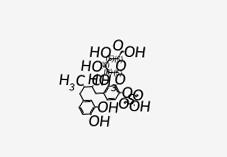 CC(Cc1ccc(O)c(O)c1)C(C)Cc1ccc(OS(=O)(=O)O)c(O[C@@H]2O[C@H](C(=O)O)[C@@H](O)[C@H](O)[C@H]2O)c1